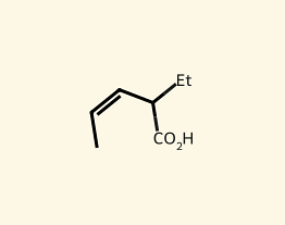 C/C=C\C(CC)C(=O)O